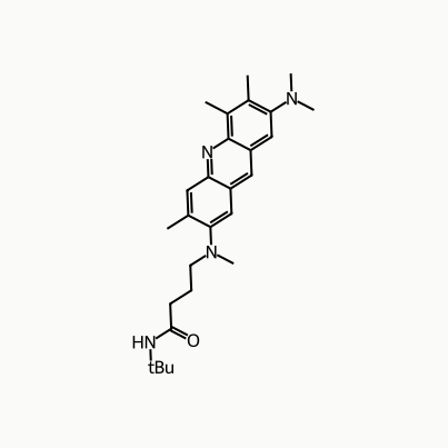 Cc1cc2nc3c(C)c(C)c(N(C)C)cc3cc2cc1N(C)CCCC(=O)NC(C)(C)C